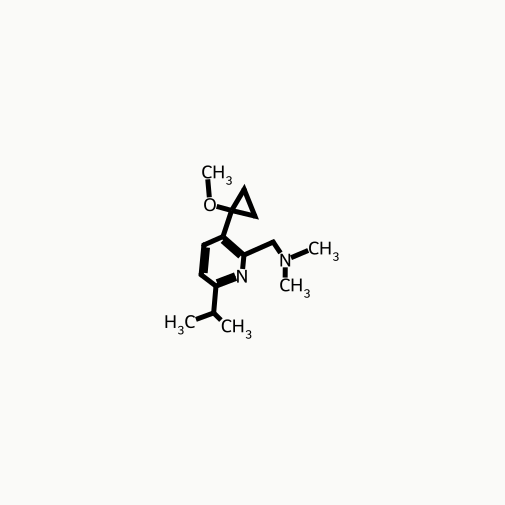 COC1(c2ccc(C(C)C)nc2CN(C)C)CC1